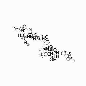 Cc1ncsc1-c1ccc(CNC(=O)[C@@H]2C[C@@H](O)CN2C(=O)C(NC(=O)[C@H]2CC[C@H](C(=O)N3CCN(c4nnc(-c5cnc(-c6ccc7cc(C#N)cnn67)cc5NC(C)C)s4)CC3)CC2)C(C)(C)C)cc1